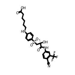 C[C@@](O)(CS(=O)(=O)c1ccc(NCCCCCC(=O)O)cc1)C(=O)Nc1ccc(C#N)c(C(F)(F)F)c1